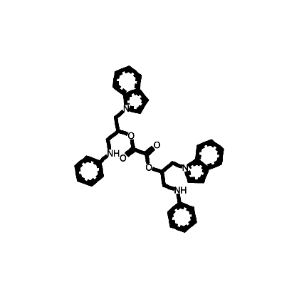 O=C(OC(CNc1ccccc1)Cn1ccc2ccccc21)C(=O)OC(CNc1ccccc1)Cn1ccc2ccccc21